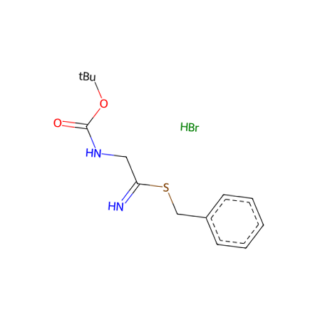 Br.CC(C)(C)OC(=O)NCC(=N)SCc1ccccc1